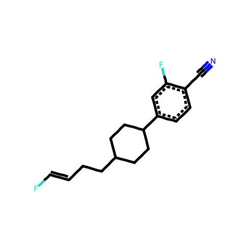 N#Cc1ccc(C2CCC(CCC=CF)CC2)cc1F